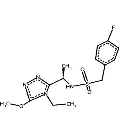 CCn1c(OC)nnc1[C@@H](C)NS(=O)(=O)Cc1ccc(F)cc1